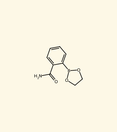 NC(=O)c1ccccc1B1OCCO1